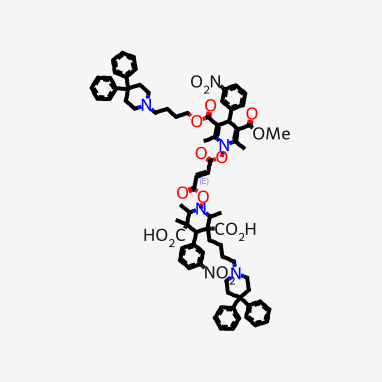 COC(=O)C1=C(C)N(OC(=O)/C=C/C(=O)ON2C(C)C(C)(C(=O)O)C(c3cccc([N+](=O)[O-])c3)C(CCCCN3CCC(c4ccccc4)(c4ccccc4)CC3)(C(=O)O)C2C)C(C)=C(C(=O)OCCCCN2CCC(c3ccccc3)(c3ccccc3)CC2)C1c1cccc([N+](=O)[O-])c1